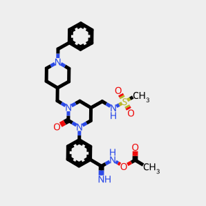 CC(=O)ONC(=N)c1cccc(N2CC(CNS(C)(=O)=O)CN(CC3CCN(Cc4ccccc4)CC3)C2=O)c1